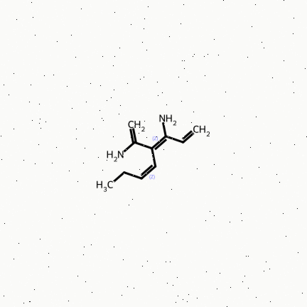 C=C/C(N)=C(\C=C/CC)C(=C)N